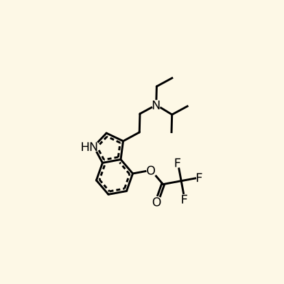 CCN(CCc1c[nH]c2cccc(OC(=O)C(F)(F)F)c12)C(C)C